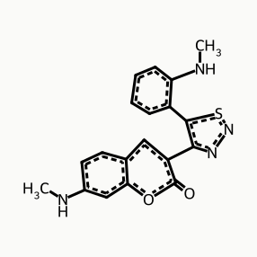 CNc1ccc2cc(-c3nnsc3-c3ccccc3NC)c(=O)oc2c1